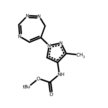 Cc1nn(C2=CN=CN=NC2)cc1NC(=O)OC(C)(C)C